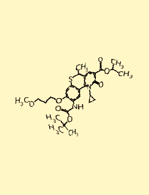 COCCCOc1cc2c(cc1NC(=O)OC(C)(C)C)-c1c(cc(C(=O)OC(C)C)c(=O)n1C1CC1)C(C)S2